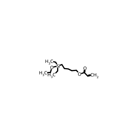 C=CC(=O)OCCCCC[Si](CC)(CC)OCC